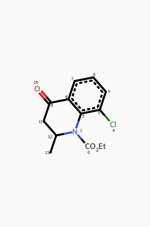 CCOC(=O)N1c2c(Cl)cccc2C(=O)CC1C